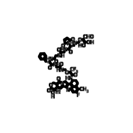 CC[C@@]1(O)C(=O)OCc2c1cc1n(c2=O)Cc2c-1nc1cc(F)c(C)c3c1c2[C@@H](NC(=O)[C@@H](OCNC(=O)CNC(=O)[C@H](Cc1ccccc1)NC(=O)CNC(=O)CNC(=O)[C@H](CNCOC(C=O)=C(O)O)N1C(=O)C=CC1=O)C(F)(F)F)CC3